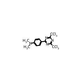 CN(C)c1ccc(-c2nc(C(Cl)(Cl)Cl)nc(C(Cl)(Cl)Cl)n2)cc1